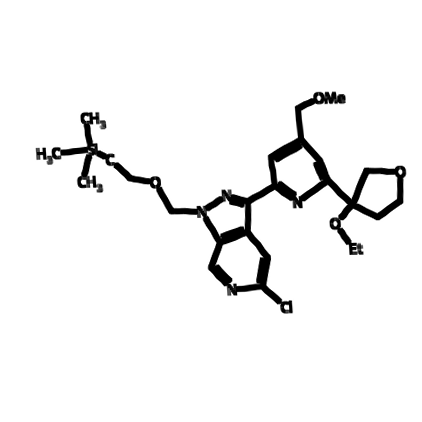 CCOC1(c2cc(COC)cc(-c3nn(COCC[Si](C)(C)C)c4cnc(Cl)cc34)n2)CCOC1